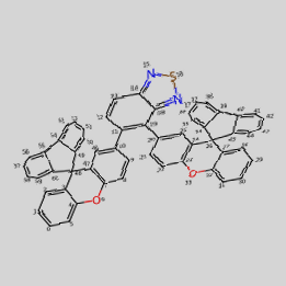 c1ccc2c(c1)Oc1ccc(-c3ccc4nsnc4c3-c3ccc4c(c3)C3(c5ccccc5O4)c4ccccc4-c4ccccc43)cc1C21c2ccccc2-c2ccccc21